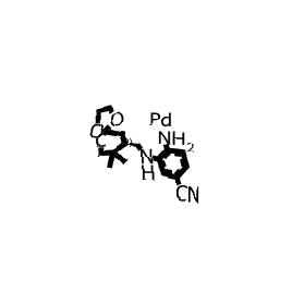 CC1(C)CCC2(C[C@H]1CNc1cc(C#N)ccc1N)OCCO2.[Pd]